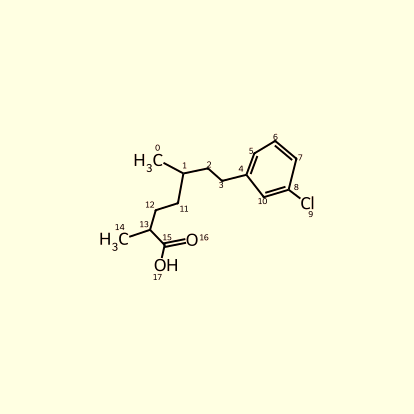 CC(CCc1cccc(Cl)c1)CCC(C)C(=O)O